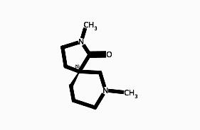 CN1CCC[C@]2(CCN(C)C2=O)C1